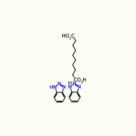 O=C(O)CCCCCCCCC(=O)O.c1ccc2[nH]nnc2c1.c1ccc2[nH]nnc2c1